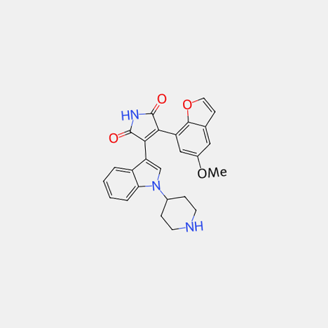 COc1cc(C2=C(c3cn(C4CCNCC4)c4ccccc34)C(=O)NC2=O)c2occc2c1